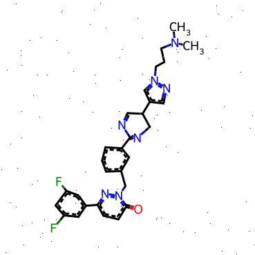 CN(C)CCCn1cc(C2C=NC(c3cccc(Cn4nc(-c5cc(F)cc(F)c5)ccc4=O)c3)=NC2)cn1